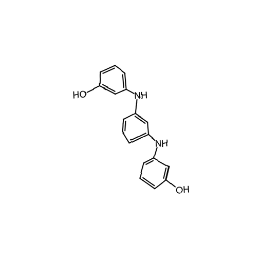 Oc1cccc(Nc2cccc(Nc3cccc(O)c3)c2)c1